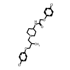 CC(COc1ccc(Cl)cc1)CN1CCC(NC(=O)COc2ccc(Cl)cc2)CC1